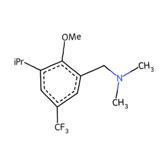 COc1c(CN(C)C)cc(C(F)(F)F)cc1C(C)C